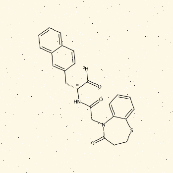 [2H]C(=O)[C@@H](Cc1ccc2ccccc2c1)NC(=O)CN1C(=O)CCSc2ccccc21